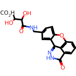 O=C(O)C(O)C(O)C(=O)NCc1ccc2c(c1)-c1n[nH]c(=O)c3cccc(c13)O2